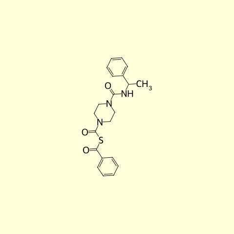 CC(NC(=O)N1CCN(C(=O)SC(=O)c2ccccc2)CC1)c1ccccc1